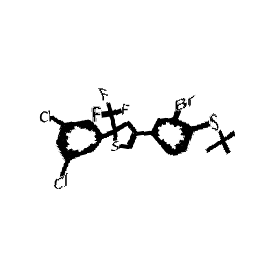 CC(C)(C)Sc1ccc(C2=CSC(c3cc(Cl)cc(Cl)c3)(C(F)(F)F)C2)cc1Br